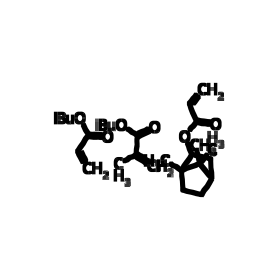 C=C(C)C(=O)OCC(C)C.C=CC(=O)OC1CC2CCC1(C)C2(C)C.C=CC(=O)OCC(C)C